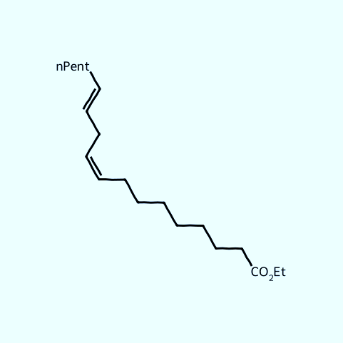 CCCCC/C=C/C/C=C\CCCCCCCC(=O)OCC